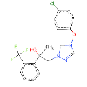 CC(O)(CN1CN(Oc2ccc(Cl)cc2)C=N1)c1ccccc1C(F)(F)F